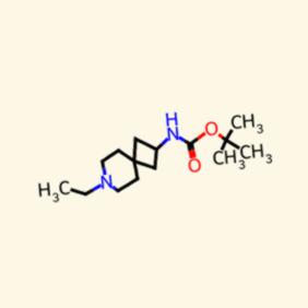 CCN1CCC2(CC1)CC(NC(=O)OC(C)(C)C)C2